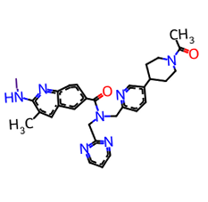 CC(=O)N1CCC(c2ccc(CN(Cc3ncccn3)C(=O)c3ccc4nc(NI)c(C)cc4c3)nc2)CC1